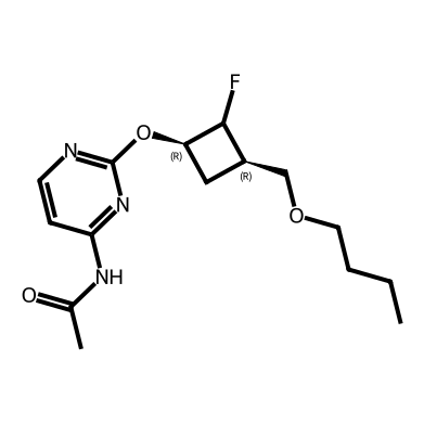 CCCCOC[C@H]1C[C@@H](Oc2nccc(NC(C)=O)n2)C1F